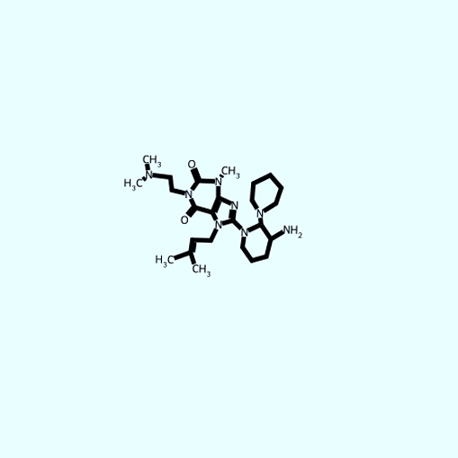 CC(C)=CCn1c(N2CCCC(N)C2N2CCCCC2)nc2c1c(=O)n(CCN(C)C)c(=O)n2C